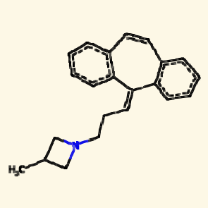 CC1CN(CCC=C2c3ccccc3C=Cc3ccccc32)C1